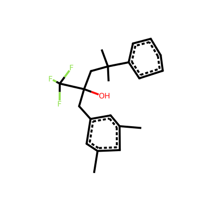 Cc1cc(C)cc(CC(O)(CC(C)(C)c2ccccc2)C(F)(F)F)c1